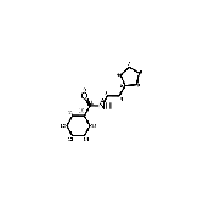 O=C(NCCC1CCCC1)C1CCCCC1